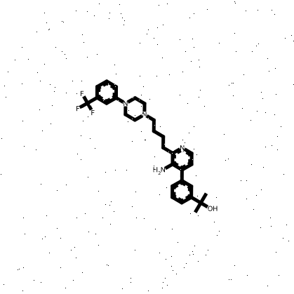 CC(C)(O)c1cccc(-c2ccnc(CCCCN3CCN(c4cccc(C(F)(F)F)c4)CC3)c2N)c1